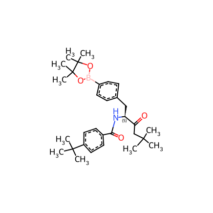 CC(C)(C)CC(=O)[C@H](Cc1ccc(B2OC(C)(C)C(C)(C)O2)cc1)NC(=O)c1ccc(C(C)(C)C)cc1